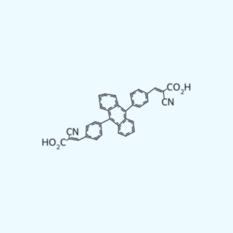 N#C/C(=C\c1ccc(-c2c3ccccc3c(-c3ccc(/C=C(\C#N)C(=O)O)cc3)c3ccccc23)cc1)C(=O)O